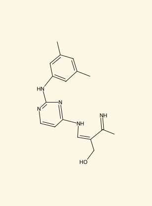 CC(=N)/C(=C\Nc1ccnc(Nc2cc(C)cc(C)c2)n1)CO